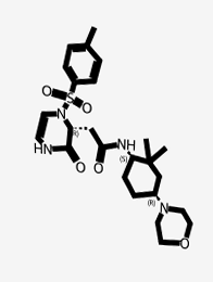 Cc1ccc(S(=O)(=O)N2C=CNC(=O)[C@H]2CC(=O)N[C@H]2CC[C@@H](N3CCOCC3)CC2(C)C)cc1